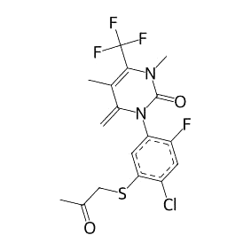 C=C1C(C)=C(C(F)(F)F)N(C)C(=O)N1c1cc(SCC(C)=O)c(Cl)cc1F